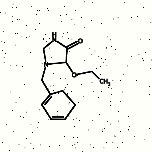 CCOC1C(=O)NCN1CC1=CC=CCC1